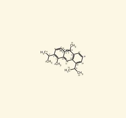 CC1=C(C(C)C)C=CC(O)C1=Nc1c(C(C)C)cccc1C(C)C